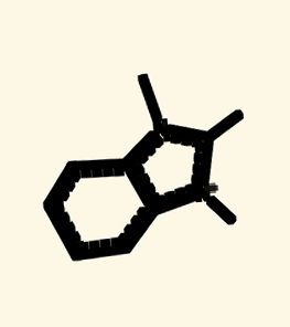 Cc1n(C)c2ccccc2[n+]1C